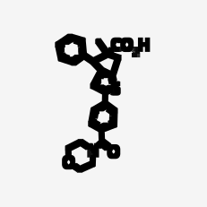 CC1(C(=O)O)Cc2sc(-c3ccc(C(=O)N4CCOCC4)cc3)cc2C1c1ccccc1